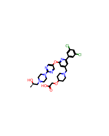 C[C@@H](O)CN1CCN(c2ncc(Oc3cc(CN4CCC(OCC(=O)O)CC4)cc(-c4cc(Cl)cc(Cl)c4)n3)cn2)CC1